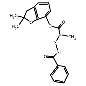 CN(SNC(=O)c1ccccc1)C(=O)Oc1cccc2c1OC(C)(C)C2